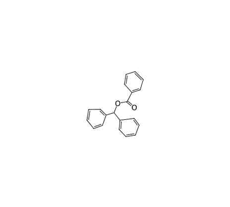 O=C(OC(c1ccccc1)c1ccccc1)c1ccccc1